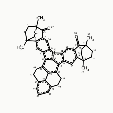 CC12CCC(C)(CC1)c1cc3c4c5c6c(c7c8cc9c(cc8n(c3cc1C2=O)c47)C(=O)C1(C)CCC9(C)CC1)CCc1cccc(c1-6)CC5